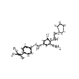 Nc1cc(NCc2ccc(C(F)(F)F)cc2)ccc1NSC1CCCCC1